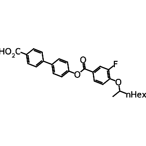 CCCCCCC(C)Oc1ccc(C(=O)Oc2ccc(-c3ccc(C(=O)O)cc3)cc2)cc1F